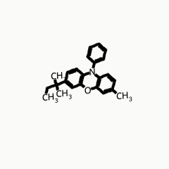 CCC(C)(C)c1ccc2c(c1)Oc1cc(C)ccc1N2c1ccccc1